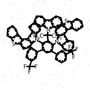 CC(C)(c1c(-n2c3ccccc3c3c4c(ccc32)sc2ccccc24)c(-c2cccc(C(F)(F)F)c2)cc(-c2cccc(C(F)(F)F)c2)c1-n1c2ccccc2c2c3c(ccc21)sc1ccccc13)n1c2ccccc2c2ccccc21